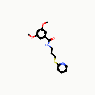 COc1cc(OC)cc(C(=O)NCCCSc2ccccn2)c1